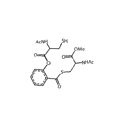 COC(=O)C(CSC(=O)c1ccccc1OC(=O)C(CS)NC(C)=O)NC(C)=O